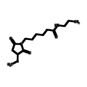 CCCNC(=O)CCCCCN1C(=O)CC(SC)C1=O